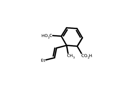 CCC=CC1(C)C(C(=O)O)=CC=CC1C(=O)O